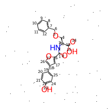 O=C(N[C@@H](COCc1ccccc1)C(=O)O)c1cc(-c2ccc(O)cc2)co1